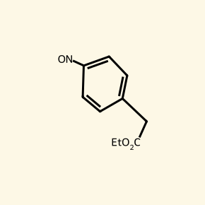 CCOC(=O)Cc1ccc(N=O)cc1